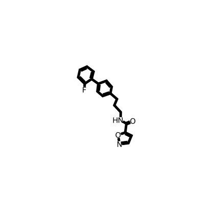 O=C(NCCCc1ccc(-c2ccccc2F)cc1)c1ccno1